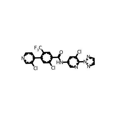 O=C(Nc1cnc(-n2nccn2)c(Cl)c1)c1cc(C(F)(F)F)c(-c2ccncc2Cl)cc1Cl